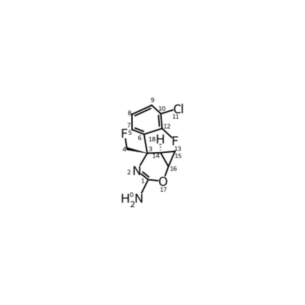 NC1=N[C@](CF)(c2cccc(Cl)c2F)[C@H]2CC2O1